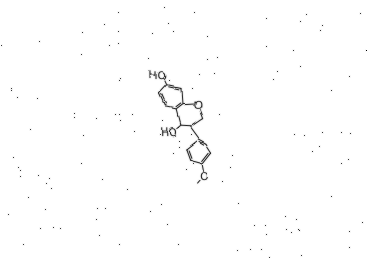 COc1ccc(C2COc3cc(O)ccc3C2O)cc1